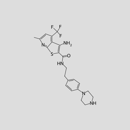 Cc1cc(C(F)(F)F)c2c(N)c(C(=O)NCCc3ccc(N4CCNCC4)cc3)sc2n1